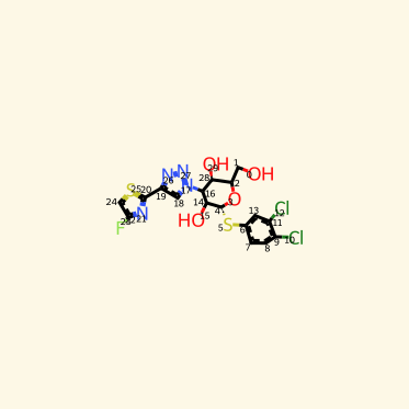 OCC1O[C@H](Sc2ccc(Cl)c(Cl)c2)C(O)C(n2cc(-c3nc(F)cs3)nn2)[C@H]1O